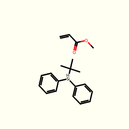 C=CC(=O)OC.CC(C)(C)[SiH](c1ccccc1)c1ccccc1